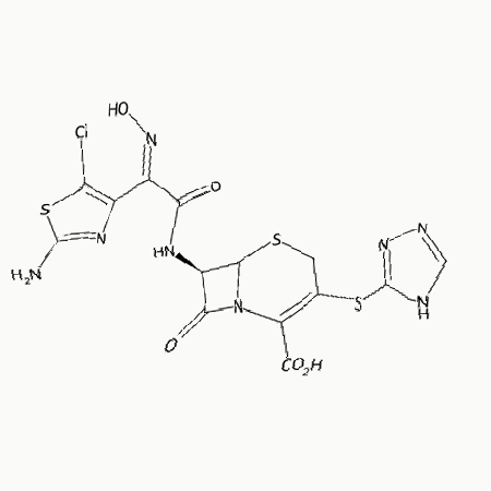 Nc1nc(/C(=N\O)C(=O)N[C@@H]2C(=O)N3C(C(=O)O)=C(Sc4nnc[nH]4)CSC23)c(Cl)s1